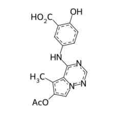 CC(=O)Oc1cn2ncnc(Nc3ccc(O)c(C(=O)O)c3)c2c1C